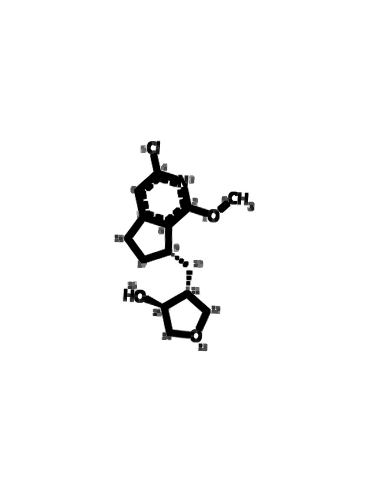 COc1nc(Cl)cc2c1[C@H](C[C@@H]1COC[C@H]1O)CC2